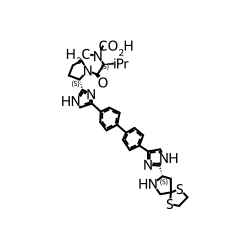 CC(C)[C@@H](C(=O)N1CCC[C@H]1c1nc(-c2ccc(-c3ccc(-c4c[nH]c([C@@H]5CC6(CN5)SCCS6)n4)cc3)cc2)c[nH]1)N(C)C(=O)O